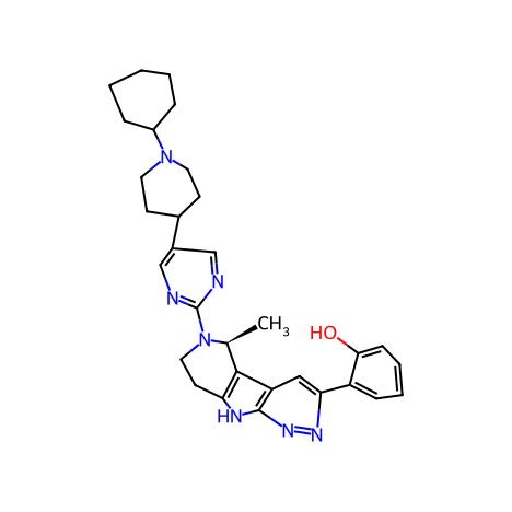 C[C@H]1c2c([nH]c3nnc(-c4ccccc4O)cc23)CCN1c1ncc(C2CCN(C3CCCCC3)CC2)cn1